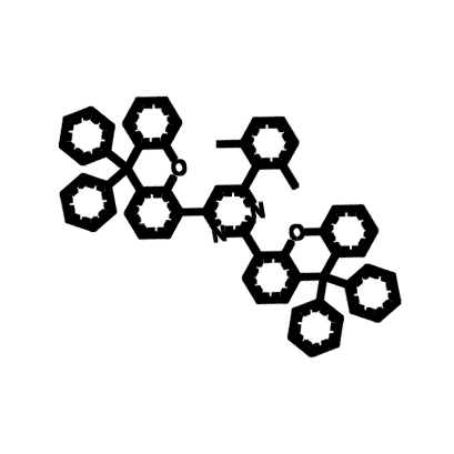 Cc1cccc(C)c1-c1cc(-c2cccc3c2Oc2ccccc2C3(c2ccccc2)c2ccccc2)nc(-c2cccc3c2Oc2ccccc2C3(c2ccccc2)c2ccccc2)n1